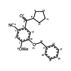 COc1cc(C#N)c(C(=O)C2CCCC2)cc1OCc1ccccc1